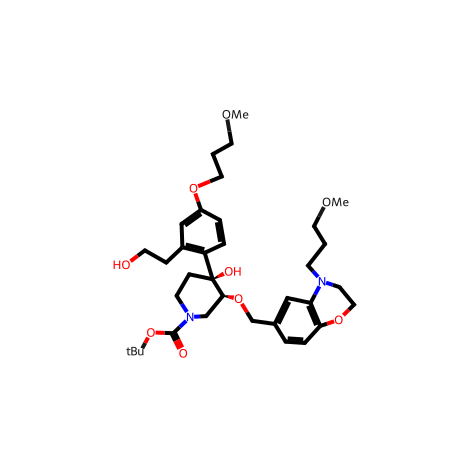 COCCCOc1ccc([C@@]2(O)CCN(C(=O)OC(C)(C)C)C[C@@H]2OCc2ccc3c(c2)N(CCCOC)CCO3)c(CCO)c1